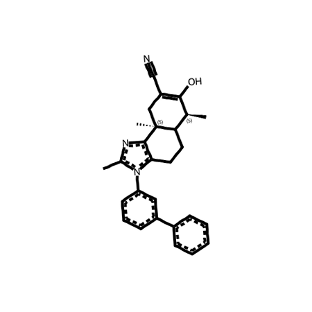 Cc1nc2c(n1-c1cccc(-c3ccccc3)c1)CCC1[C@H](C)C(O)=C(C#N)C[C@]21C